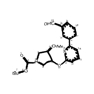 COC1CN(C(=O)OC(C)(C)C)CC1Oc1cccc(-c2cccc(C=O)c2)n1